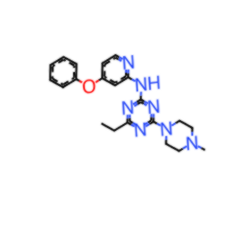 CCc1nc(Nc2cc(Oc3ccccc3)ccn2)nc(N2CCN(C)CC2)n1